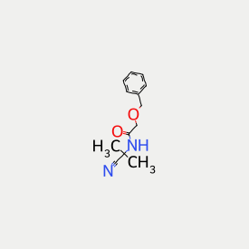 CC(C)(C#N)NC(=O)COCc1ccccc1